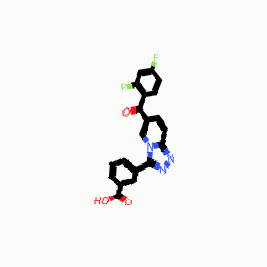 O=C(O)c1cccc(-c2nnc3ccc(C(=O)c4ccc(F)cc4F)cn23)c1